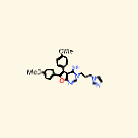 COc1ccc(-c2oc3ncn(CCCn4ccnc4)c(=N)c3c2-c2ccc(OC)cc2)cc1